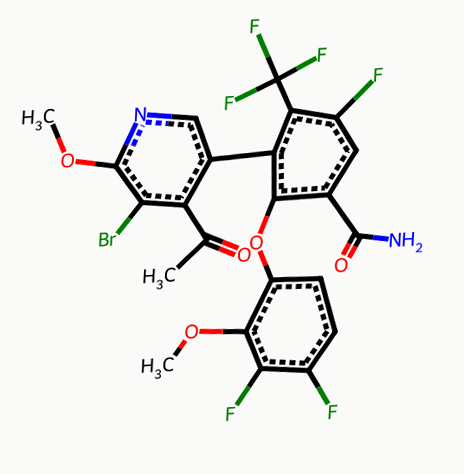 COc1ncc(-c2c(Oc3ccc(F)c(F)c3OC)c(C(N)=O)cc(F)c2C(F)(F)F)c(C(C)=O)c1Br